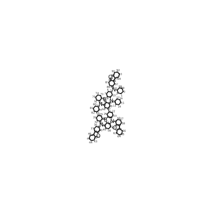 c1ccc(N(c2ccc3c(c2)N(c2ccccc2)c2cc(-c4ccc5c(c4)B4c6ccccc6N(c6ccc7c(c6)oc6ccccc67)c6cccc(c64)N5c4cccc5c4oc4ccccc45)cc4c2B3c2ccccc2N4c2ccccc2)c2ccc3oc4ccccc4c3c2)cc1